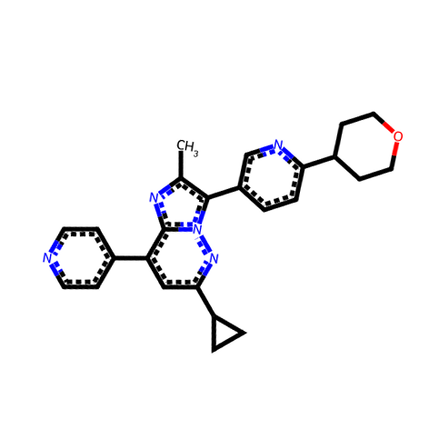 Cc1nc2c(-c3ccncc3)cc(C3CC3)nn2c1-c1ccc(C2CCOCC2)nc1